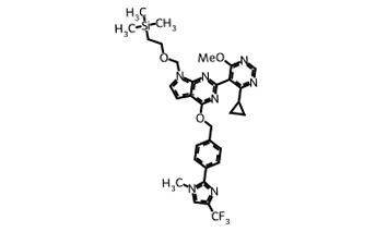 COc1ncnc(C2CC2)c1-c1nc(OCc2ccc(-c3nc(C(F)(F)F)cn3C)cc2)c2ccn(COCC[Si](C)(C)C)c2n1